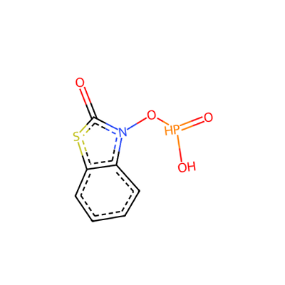 O=c1sc2ccccc2n1O[PH](=O)O